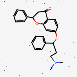 CN(C)CCC(Oc1ccc2c(c1)OC(c1ccccc1)CC2=O)c1ccccc1